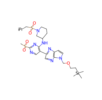 CC(C)CS(=O)(=O)N1CCCC(Nc2nc(S(C)(=O)=O)ncc2-c2cnc3c(ccn3COCC[Si](C)(C)C)n2)C1